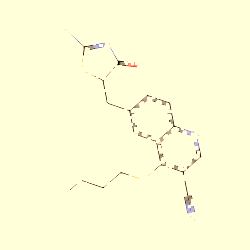 CCCCSc1c(C#N)cnc2ccc(CC3SC(N)=NC3=O)cc12